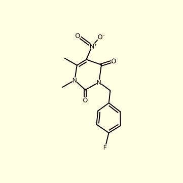 Cc1c([N+](=O)[O-])c(=O)n(Cc2ccc(F)cc2)c(=O)n1C